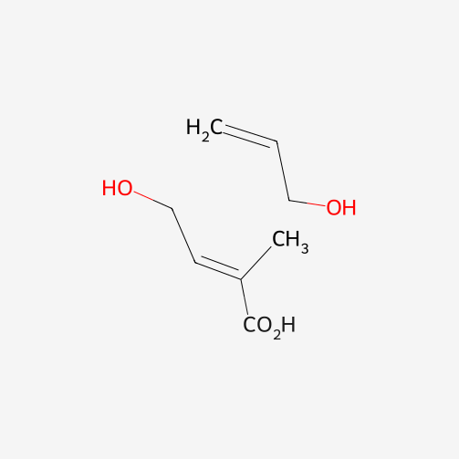 C=CCO.CC(=CCO)C(=O)O